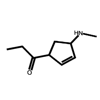 CCC(=O)C1C=CC(NC)C1